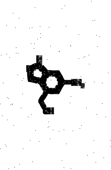 Nc1cc(CO)c2cn[nH]c2c1